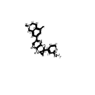 Cc1cc(-c2cnc(N)c(OC3(c4ccnc(N)c4)CC3)n2)cc2c1CCN(C)C2